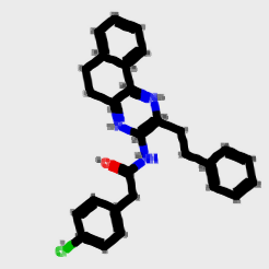 O=C(Cc1ccc(Cl)cc1)Nc1nc2c(nc1CCc1ccccc1)-c1ccccc1CC2